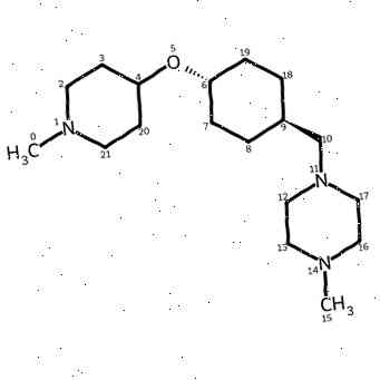 CN1CCC(O[C@H]2CC[C@H](CN3CCN(C)CC3)CC2)CC1